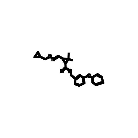 CC1(C)C(C=NOCC2CC2)C1C(=O)OCc1cccc(Oc2ccccc2)c1